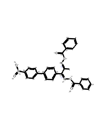 CC(=N\OC(=O)c1ccccc1)/C(=N\OC(=O)c1ccccc1)c1ccc(-c2ccc([N+](=O)[O-])cc2)cc1